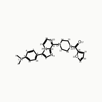 CN(C)c1ccc(-c2cnc3c(N4CCN(C(=O)c5ccco5)CC4)nccn23)cc1